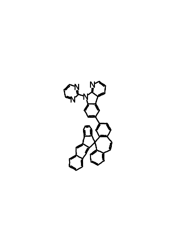 C1=Cc2ccc(-c3ccc4c(c3)c3cccnc3n4-c3ncccn3)cc2C2(c3ccccc31)c1ccccc1-c1cc3ccccc3cc12